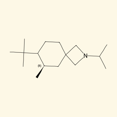 CC(C)N1CC2(CCC(C(C)(C)C)[C@H](C)C2)C1